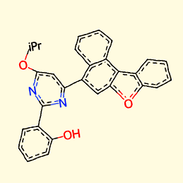 CC(C)Oc1cc(-c2cc3oc4ccccc4c3c3ccccc23)nc(-c2ccccc2O)n1